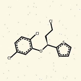 ClCC[C@H](Oc1cc(Cl)ccc1Cl)c1cccs1